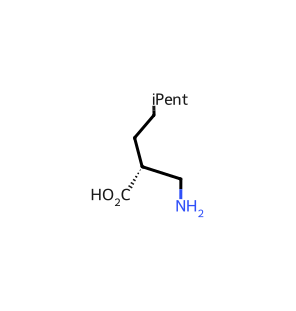 CCCC(C)CC[C@H](CN)C(=O)O